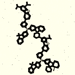 CC(C)c1cc(C(C)C)c2oc3ccc(-c4cccc(N(c5ccc6c(c5)C(C)(C)c5ccccc5-6)c5ccc6c(c5)C5(CCCC(c7cc(C(C)C)c8oc9ccc(-c%10cccc(N(c%11ccc%12c(c%11)C%11(CCCCC%11)C%11=C%12C=CC=C[C@H]%11C)c%11ccc%12c(c%11)C(C)(C)c%11ccccc%11-%12)c%10)cc9c8c7)C5)c5ccccc5-6)c4)cc3c2c1